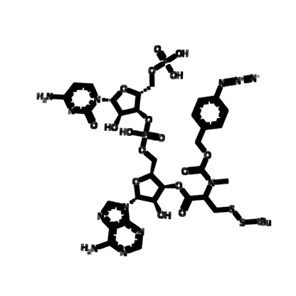 CN(C(=O)OCc1ccc(N=[N+]=[N-])cc1)C(CSSC(C)(C)C)C(=O)O[C@H]1[C@@H](O)[C@H](n2cnc3c(N)ncnc32)O[C@H]1COP(=O)(O)O[C@H]1[C@@H](O)[C@H](n2ccc(N)nc2=O)O[C@@H]1COP(=O)(O)O